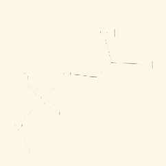 COS(=O)(=O)OCC(O)O